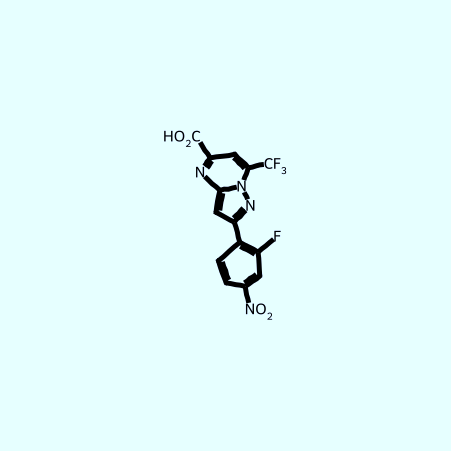 O=C(O)c1cc(C(F)(F)F)n2nc(-c3ccc([N+](=O)[O-])cc3F)cc2n1